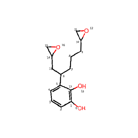 Oc1cccc(C(CCCC2CO2)CC2CO2)c1O